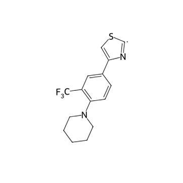 FC(F)(F)c1cc(-c2cs[c]n2)ccc1N1CCCCC1